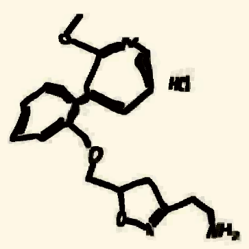 COc1ncccc1-c1ccccc1OCC1CC(CN)=NO1.Cl